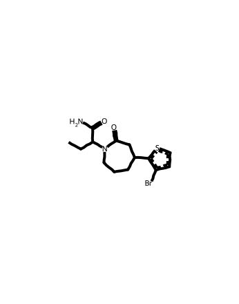 CCC(C(N)=O)N1CCCC(c2sccc2Br)CC1=O